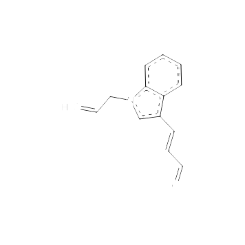 C=CCn1cc(C=CC=O)c2ccccc21